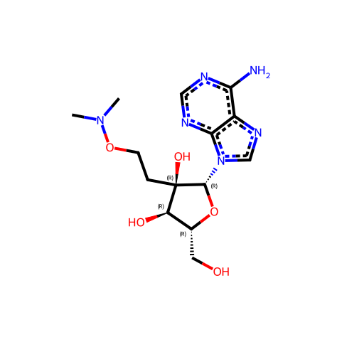 CN(C)OCC[C@@]1(O)[C@H](O)[C@@H](CO)O[C@H]1n1cnc2c(N)ncnc21